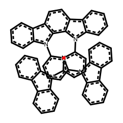 c1cc(-n2c3ccccc3c3ccccc32)nc(-n2c3ccccc3c3ccc4c5ccccc5n(-c5cccc(-n6c7ccccc7c7ccccc76)n5)c4c32)c1